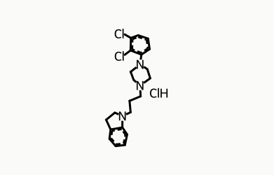 Cl.Clc1cccc(N2CCN(CCCN3CCc4ccccc43)CC2)c1Cl